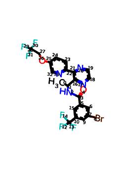 CC(NC(=O)c1cc(Br)cc(C(F)(F)F)c1)c1nccnc1-c1ccc(OCC(F)(F)F)cn1